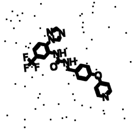 O=C(NCc1ccc(Oc2ccncc2)cc1)Nc1cc(C(F)(F)F)ccc1-n1cncn1